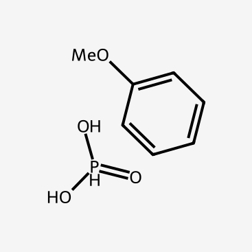 COc1ccccc1.O=[PH](O)O